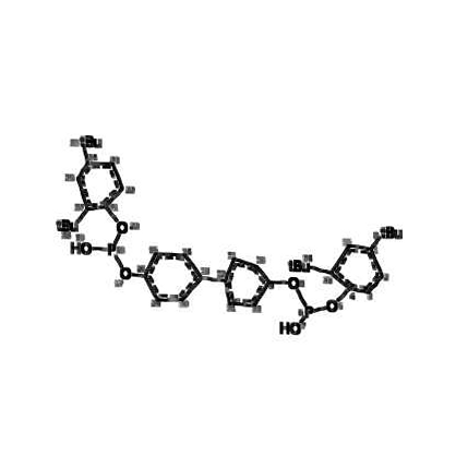 CC(C)(C)c1ccc(OP(O)Oc2ccc(-c3ccc(OP(O)Oc4ccc(C(C)(C)C)cc4C(C)(C)C)cc3)cc2)c(C(C)(C)C)c1